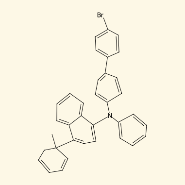 CC1(c2ccc(N(c3ccccc3)c3ccc(-c4ccc(Br)cc4)cc3)c3ccccc23)C=CC=CC1